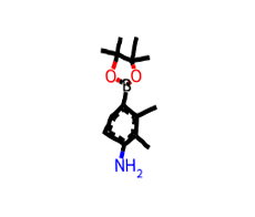 Cc1c(N)ccc(B2OC(C)(C)C(C)(C)O2)c1C